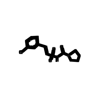 O=C(NS(=O)(=O)C=Cc1cccc(Cl)c1)N1CCCC1